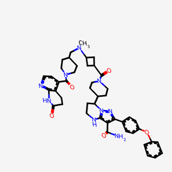 CN(CC1CCN(C(=O)c2ccnc3c2CCC(=O)N3)CC1)C1CC(C(=O)N2CCC(C3CCNc4c(C(N)=O)c(-c5ccc(Oc6ccccc6)cc5)nn43)CC2)C1